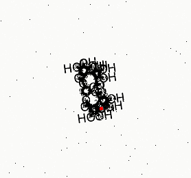 O=C1OC2C(CCC3OC(=O)c4cc(O)c(O)c(O)c4-c4c(cc(O)c(O)c4O)C(=O)OC32)OC(=O)c2cc(O)c(O)c(O)c2-c2cc1c(O)c(O)c2O